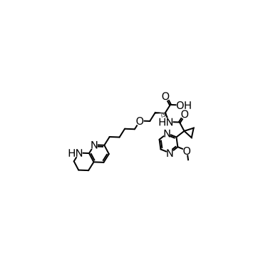 COc1nccnc1C1(C(=O)N[C@@H](CCOCCCCc2ccc3c(n2)NCCC3)C(=O)O)CC1